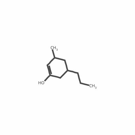 CCCC1CC(O)=CC(C)C1